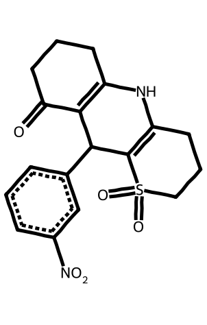 O=C1CCCC2=C1C(c1cccc([N+](=O)[O-])c1)C1=C(CCCS1(=O)=O)N2